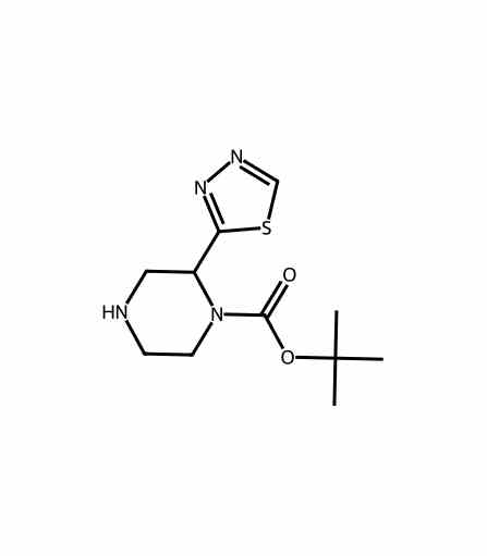 CC(C)(C)OC(=O)N1CCNCC1c1nncs1